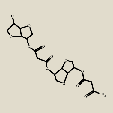 CC(=O)CC(=O)OC1COC2C(OC(=O)CC(=O)OC3COC4C(O)COC34)COC12